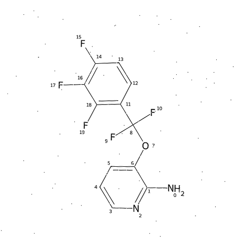 Nc1ncccc1OC(F)(F)c1ccc(F)c(F)c1F